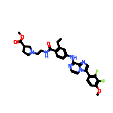 CCc1cc(Nc2nccn3c(-c4ccc(OC)c(F)c4F)cnc23)ccc1C(=O)NCCN1CCC(C(=O)OC)C1